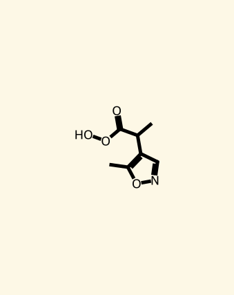 Cc1oncc1C(C)C(=O)OO